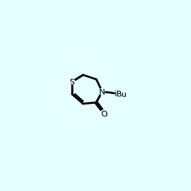 CCC(C)N1CCSC=CC1=O